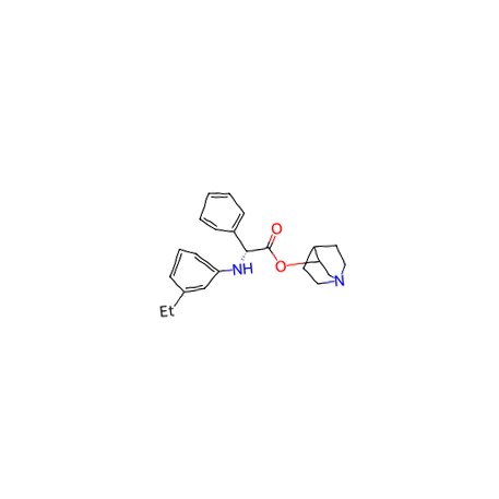 CCc1cccc(N[C@@H](C(=O)OC2CN3CCC2CC3)c2ccccc2)c1